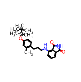 Cc1cc(O[Si](C)(C)C(C)(C)C)ccc1CCCNc1cccc2c1C(=O)NC2=O